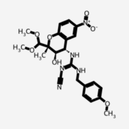 COc1ccc(CNC(=NC#N)N[C@H]2c3cc([N+](=O)[O-])ccc3O[C@@](C)(C(OC)OC)[C@@H]2O)cc1